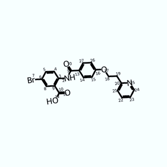 O=C(Nc1ccc(Br)cc1C(=O)O)c1ccc(OCCc2ccccn2)cc1